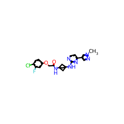 Cn1cc(-c2ccnc(NC34CC(NC(=O)COc5ccc(Cl)c(F)c5)(C3)C4)n2)cn1